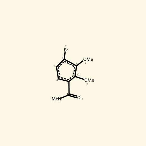 CNC(=O)c1ccc(Br)c(OC)c1OC